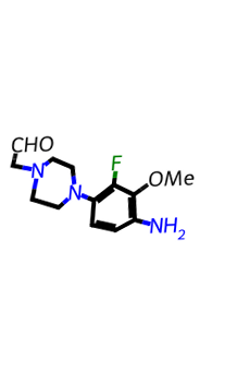 COc1c(N)ccc(N2CCN(CC=O)CC2)c1F